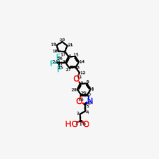 O=C(O)CCc1nc2ccc(OCc3ccc(C4CCCC4)c(C(F)(F)F)c3)cc2o1